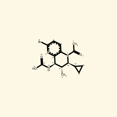 CC(=O)N1c2ccc(Br)nc2[C@H](NC(=O)O)[C@@H](C)[C@@H]1C1CC1